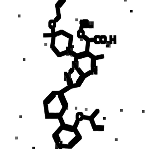 C=CCOC1(C)CCN(c2c(C(OC(C)(C)C)C(=O)O)c(C)nc3cc(-c4cccc(-c5cnccc5OC(C)C=C)c4)nn23)CC1